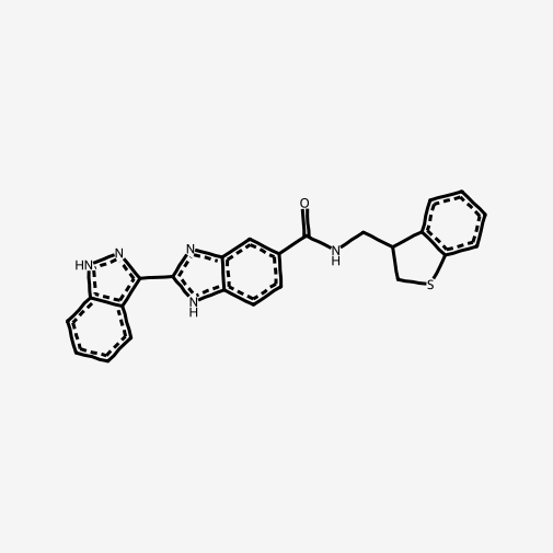 O=C(NCC1CSc2ccccc21)c1ccc2[nH]c(-c3n[nH]c4ccccc34)nc2c1